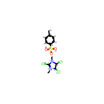 CN1C(Cl)=[N+](C)C(Cl)C1Cl.Cc1ccc(S(=O)(=O)[O-])cc1